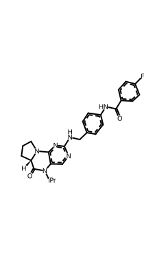 CC(C)N1C(=O)[C@@H]2CCCN2c2nc(NCc3ccc(NC(=O)c4ccc(F)cc4)cc3)ncc21